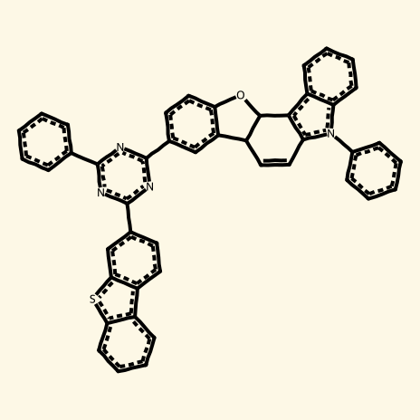 C1=CC2c3cc(-c4nc(-c5ccccc5)nc(-c5ccc6c(c5)sc5ccccc56)n4)ccc3OC2c2c1n(-c1ccccc1)c1ccccc21